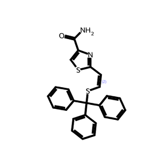 NC(=O)c1csc(/C=C\SC(c2ccccc2)(c2ccccc2)c2ccccc2)n1